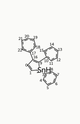 C1=[CH][SnH]([c]2ccccc2)[C](c2ccccc2)=C1c1ccccc1